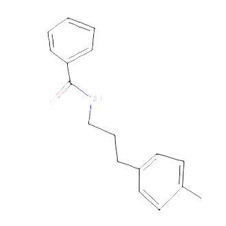 Cc1ccc(CCCNC(=O)c2ccccc2)cc1